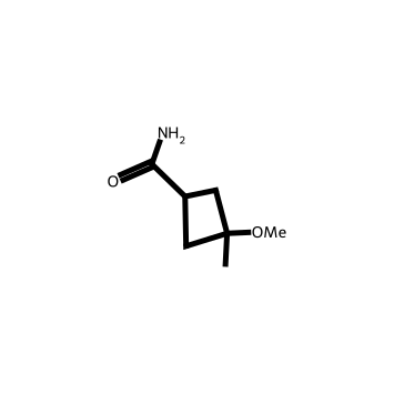 COC1(C)CC(C(N)=O)C1